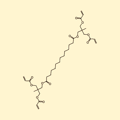 C=CC(=O)OCC(C)(COC(=O)C=C)COC(=O)CCCCCCCCCCCCC(=O)OCC(C)(COC(=O)C=C)COC(=O)C=C